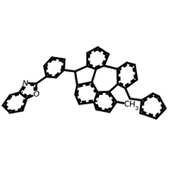 Cc1ccc2ccc3c4c2c1-c1c(Cc2ccccc2)cccc1-c1cccc(c1-4)C3c1cccc(-c2nc3ccccc3o2)c1